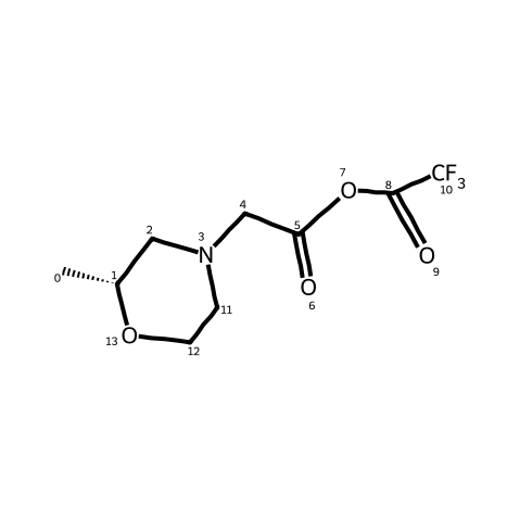 C[C@@H]1CN(CC(=O)OC(=O)C(F)(F)F)CCO1